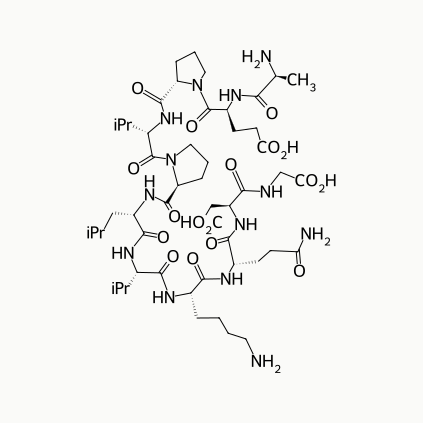 CC(C)C[C@H](NC(=O)[C@@H]1CCCN1C(=O)[C@@H](NC(=O)[C@@H]1CCCN1C(=O)[C@H](CCC(=O)O)NC(=O)[C@H](C)N)C(C)C)C(=O)N[C@H](C(=O)N[C@@H](CCCCN)C(=O)N[C@@H](CCC(N)=O)C(=O)N[C@@H](CC(=O)O)C(=O)NCC(=O)O)C(C)C